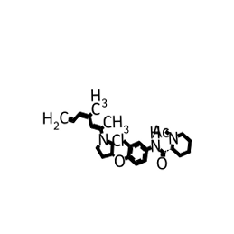 C=C/C=C(C)\C=C(/C)N1CC[C@H](Oc2ccc(NC(=O)[C@H]3CCCCN3C(C)=O)cc2Cl)C1